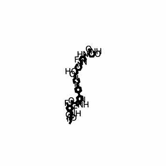 CCN(C)S(=O)(=O)Nc1ccc(F)c(C(=O)c2c[nH]c3ncc(-c4ccc(N5CCN(C(=O)CC6(O)CCN(c7ncc(NC8CCC(=O)NC8=O)cc7F)CC6)CC5)cc4)cc23)c1F